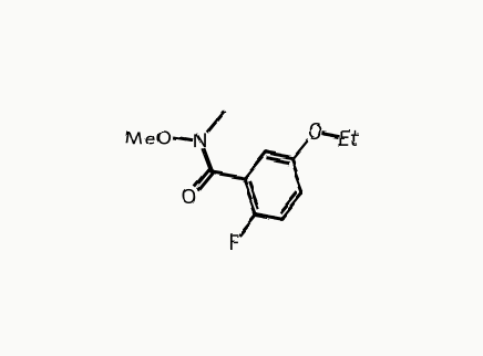 CCOc1ccc(F)c(C(=O)N(C)OC)c1